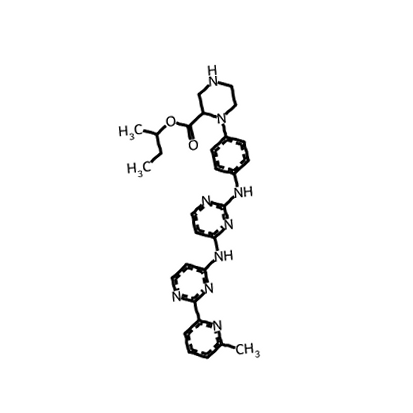 CCC(C)OC(=O)C1CNCCN1c1ccc(Nc2nccc(Nc3ccnc(-c4cccc(C)n4)n3)n2)cc1